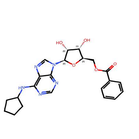 O=C(OC[C@H]1O[C@@H](n2cnc3c(NC4CCCC4)ncnc32)[C@H](O)[C@@H]1O)c1ccccc1